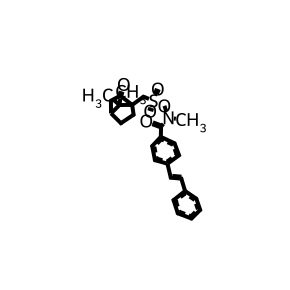 CN(OS(=O)(=O)CC12CCC(CC1=O)C2(C)C)C(=O)c1ccc(/C=C/c2ccccc2)cc1